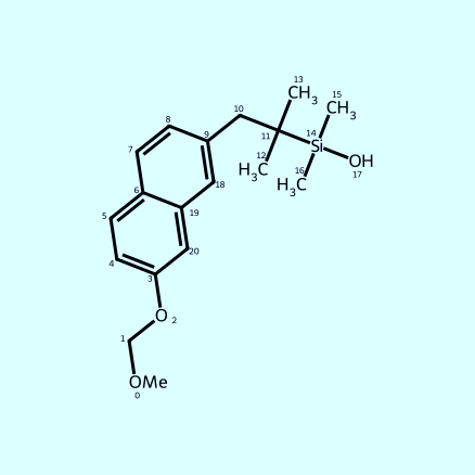 COCOc1ccc2ccc(CC(C)(C)[Si](C)(C)O)cc2c1